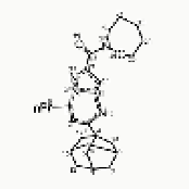 CCCc1cc(C23CC4CC(CC(C4)C2)C3)nc2cc(C(=O)N3CCCCCC3)nn12